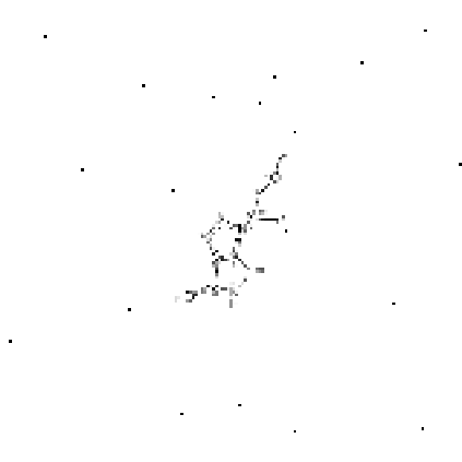 COC[C@@H](C)n1ccc2c1CNC2=O